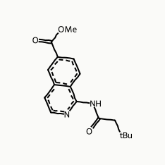 COC(=O)c1ccc2c(NC(=O)CC(C)(C)C)nccc2c1